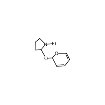 CCN1CCCC1OC1C=CC=CO1